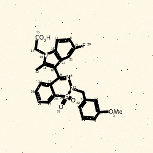 COc1cccc(CN2N=C(c3c(C)n(CC(=O)O)c4ccc(F)cc34)c3ccccc3S2(=O)=O)c1